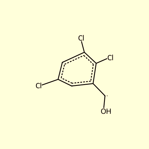 O[CH]c1cc(Cl)cc(Cl)c1Cl